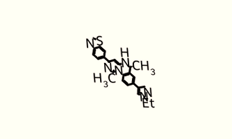 CCn1cc(-c2cccc([C@H](C)Nc3cc(-c4ccc5ncsc5c4)nc(C)n3)c2)cn1